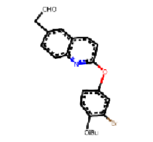 CC(C)COc1ccc(Oc2ccc3cc(CC=O)ccc3n2)cc1Br